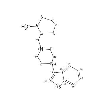 [CH2]C1CCCCC1CN1CCN(c2nsc3ccccc23)CC1